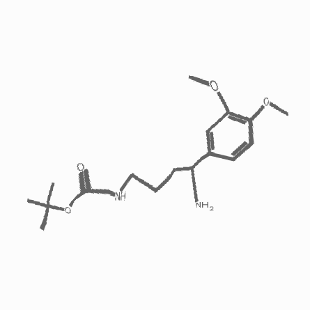 COc1ccc(C(N)CCCNC(=O)OC(C)(C)C)cc1OC